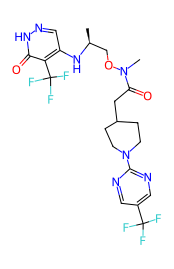 C[C@@H](CON(C)C(=O)CC1CCN(c2ncc(C(F)(F)F)cn2)CC1)Nc1cn[nH]c(=O)c1C(F)(F)F